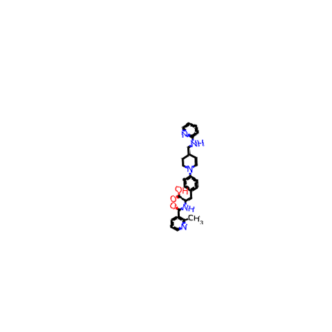 Cc1ncccc1C(=O)NC(Cc1ccc(N2CCC(CNc3ccccn3)CC2)cc1)C(=O)O